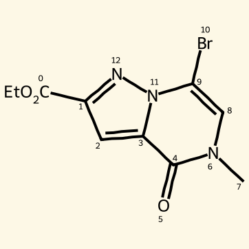 CCOC(=O)c1cc2c(=O)n(C)cc(Br)n2n1